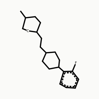 CC1CCC(CCC2CCC(c3ccccc3F)CC2)CC1